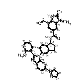 Cn1c(=O)[nH]c2c(C=O)cc(C(=O)N[C@H]3CCc4cc(-n5c(-c6cccnc6N)nc6ccc(-n7cccn7)nc65)ccc43)cc21